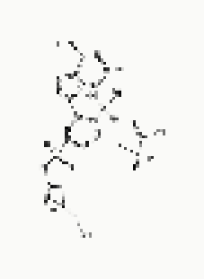 O=C(O)C(F)(F)F.[2H]C([2H])([2H])c1ccc(S(=O)(=O)NC23CCC(CO)(C2)C3)cc1-c1cnc2c(N)nc(C)cn12